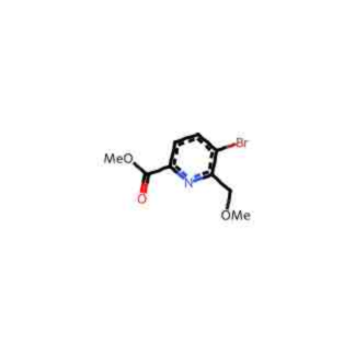 COCc1nc(C(=O)OC)ccc1Br